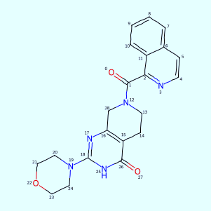 O=C(c1nccc2ccccc12)N1CCc2c(nc(N3CCOCC3)[nH]c2=O)C1